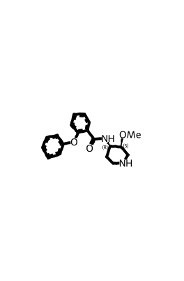 CO[C@H]1CNCC[C@H]1NC(=O)c1ccccc1Oc1ccccc1